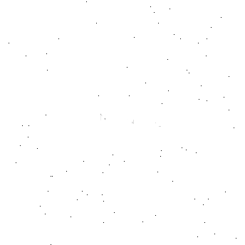 C[Si](C)(C)[Si](C)(C)N1CCCC1